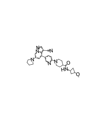 CO[C@H]1C[C@@H](NC(=O)C2CCN(c3ccc(-c4cc(N5CCCC5)cn5ncc(C#N)c45)cn3)CC2)C1